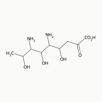 CC(O)C(N)C(O)C(N)C(O)CC(=O)C(=O)O